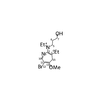 CCC1=C(N(CC)CCCO)N=CC(Br)=C(OC)C1